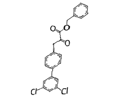 O=C(Cc1ccc(-c2cc(Cl)cc(Cl)c2)cc1)C(=O)OCc1ccccc1